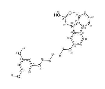 COc1cc(OC)cc(OCCCCCOc2ccc3c4ccccc4n(CC(=O)O)c3c2)c1